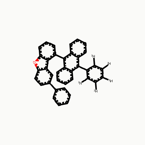 [2H]c1c([2H])c([2H])c(-c2c3ccccc3c(-c3cccc4oc5ccc(-c6ccccc6)cc5c34)c3ccccc23)c([2H])c1[2H]